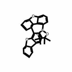 CC1(C)OB(c2cccc3oc4cccc(-c5cccc6c5oc5ccccc56)c4c23)OC1(C)C